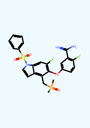 CP(C)(=O)Cc1c(Oc2ccc(F)c(C(=N)N)c2)c(F)cc2c1ccn2S(=O)(=O)c1ccccc1